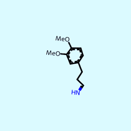 COc1ccc(CCC=N)cc1OC